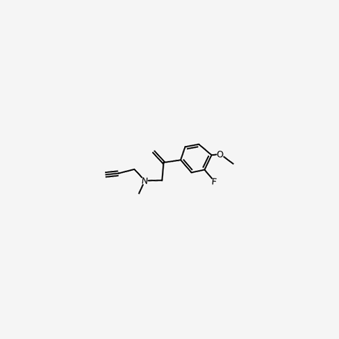 C#CCN(C)CC(=C)c1ccc(OC)c(F)c1